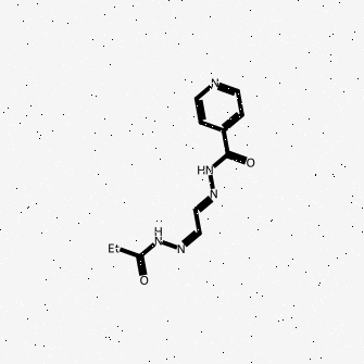 CCC(=O)N/N=C\C=NNC(=O)c1ccncc1